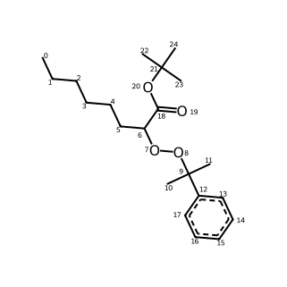 CCCCCCC(OOC(C)(C)c1ccccc1)C(=O)OC(C)(C)C